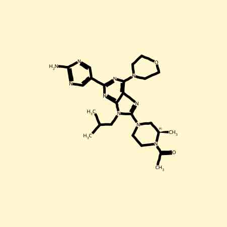 CC(=O)N1CCN(c2nc3c(N4CCOCC4)nc(-c4cnc(N)nc4)nc3n2CC(C)C)C[C@H]1C